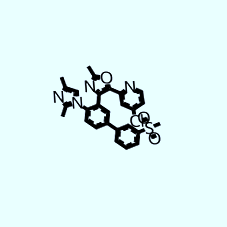 Cc1cn(-c2ccc(-c3cccc(S(C)(=O)=O)c3)cc2-c2nc(C)oc2-c2cc(Cl)ccn2)c(C)n1